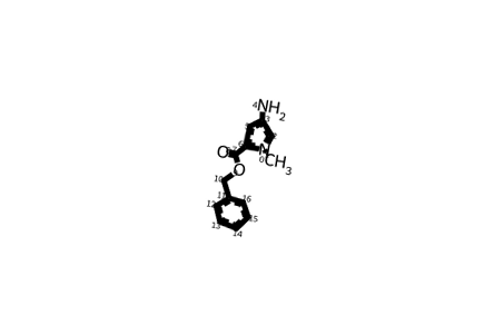 Cn1cc(N)cc1C(=O)OCc1ccccc1